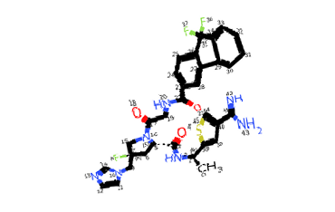 C[C@@H](NC(=O)[C@@H]1C[C@](F)(Cn2ccnc2)CN1C(=O)CNC(=O)c1ccc2c(c1)-c1ccccc1C2(F)F)c1cc(C(=N)N)cs1